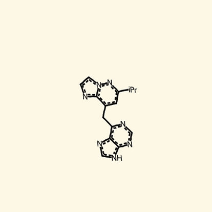 CC(C)c1cc(Cc2ncnc3[nH]cnc23)c2nccn2n1